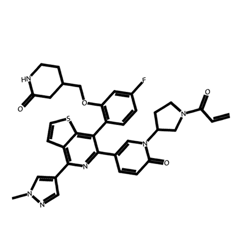 C=CC(=O)N1CCC(n2cc(-c3nc(-c4cnn(C)c4)c4ccsc4c3-c3ccc(F)cc3OCC3CCNC(=O)C3)ccc2=O)C1